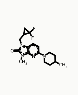 CC1CCN(c2ccc3c(n2)n(C)c(=O)n3CC2CC2(F)F)CC1